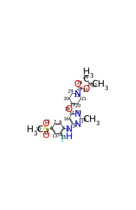 Cc1nc(Nc2ccc(S(C)(=O)=O)cc2F)cc(OC2CCN(C(=O)OC(C)C)CC2)n1